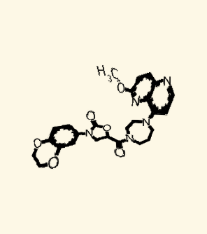 COc1ccc2nccc(N3CCCN(C(=O)C4CN(c5ccc6c(c5)OCCO6)C(=O)O4)CC3)c2n1